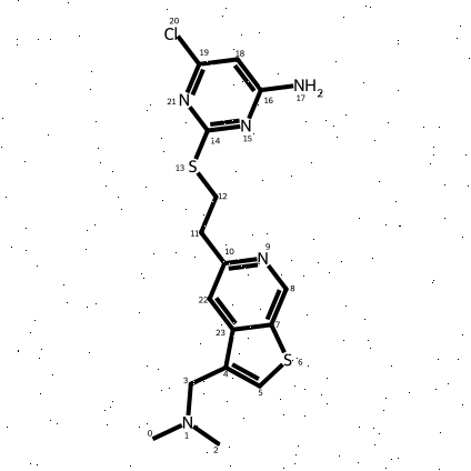 CN(C)Cc1csc2cnc(CCSc3nc(N)cc(Cl)n3)cc12